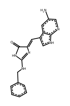 Nc1cnc2[nH]cc(/C=C3\N=C(NCc4ccccc4)NC3=O)c2c1